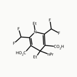 CCCC1(CC)C(C(=O)O)=C(C(F)F)N(CC)C(C(F)F)=C1C(=O)O